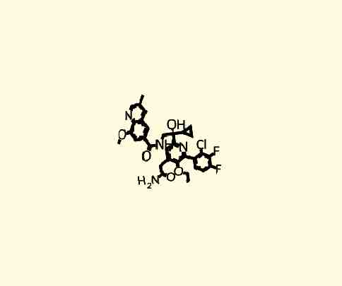 CCOc1c(CC(N)=O)cc([C@@](O)(CNC(=O)c2cc(OC)c3ncc(C)cc3c2)C2CC2)nc1-c1ccc(F)c(F)c1Cl